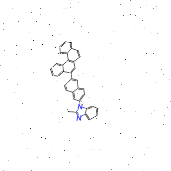 Cc1nc2ccccc2n1-c1ccc2cc(-c3cc4ccc5ccccc5c4c4ccccc34)ccc2c1